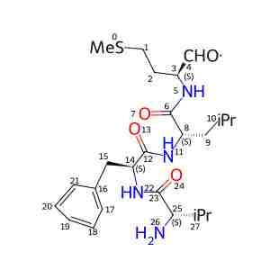 CSCC[C@@H]([C]=O)NC(=O)[C@H](CC(C)C)NC(=O)[C@H](Cc1ccccc1)NC(=O)[C@@H](N)C(C)C